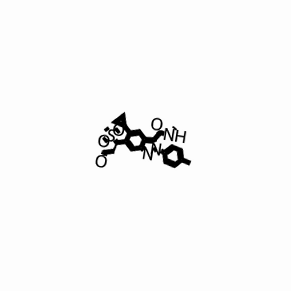 CNC(=O)c1c2cc(C3CC3)c([C@@H](CC=O)S(C)(=O)=O)cc2nn1-c1ccc(C)cc1